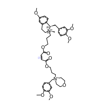 COc1ccc2c(c1)CC[N@@+](C)(CCCOC(=O)/C=C\C(=O)OCCC[N+]1(Cc3ccc(OC)c(OC)c3)CCOCC1)[C@@H]2Cc1ccc(OC)c(OC)c1